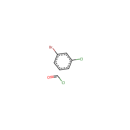 Clc1cccc(Br)c1.O=CCl